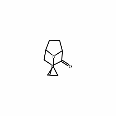 CN1CC2CCC(C1=O)N2C1CC1